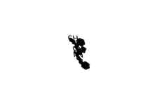 CCCC[C@H](C(=O)N1CCCC1c1nc(CCCc2ccccc2)no1)c1ccccc1